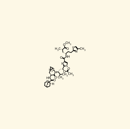 COC(=O)[C@@H](C)C[C@H](CCc1nc(C)cs1)NC(=O)c1csc([C@@H](C[C@H](C(C)C)N(C)C(=O)[C@H](CC2CC2)NC(=O)[C@H]2CC3CCN2CC3)OC(C)=O)n1